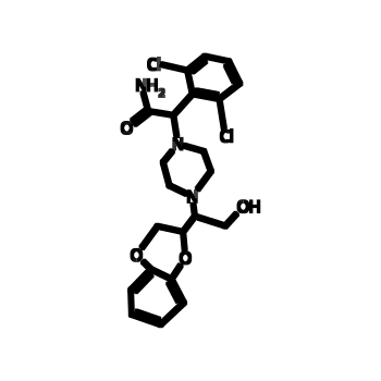 NC(=O)C(c1c(Cl)cccc1Cl)N1CCN(C(CO)C2COc3ccccc3O2)CC1